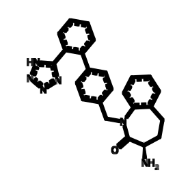 N[C@@H]1CCc2ccccc2N(Cc2ccc(-c3ccccc3-c3nnn[nH]3)cc2)C1=O